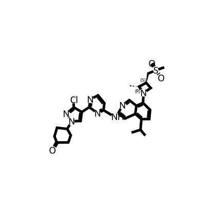 CC(C)c1ccc(N2C[C@H](CS(C)(=O)=O)[C@H]2C)c2cnc(Nc3ccnc(-c4cn(C5CCC(=O)CC5)nc4Cl)n3)cc12